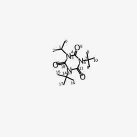 CC(C)n1c(=O)n(C(C)(C)C)c(=O)n(C(C)(C)C)c1=O